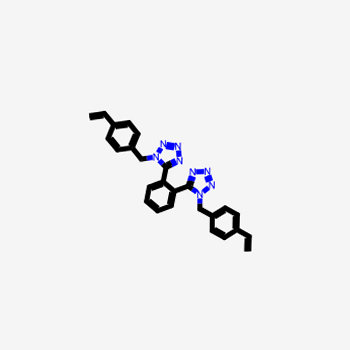 C=Cc1ccc(Cn2nnnc2-c2ccccc2-c2nnnn2Cc2ccc(C=C)cc2)cc1